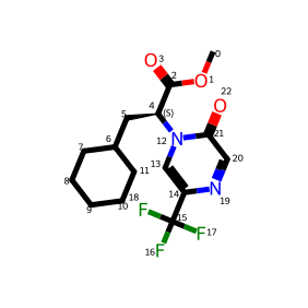 COC(=O)[C@H](CC1CCCCC1)n1cc(C(F)(F)F)ncc1=O